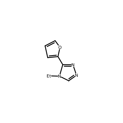 CCn1[c]nnc1-c1ccco1